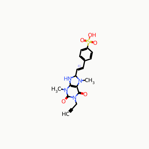 C#CCn1c(=O)c2c(n(C)c1=O)NC(/C=C/c1ccc(S(=O)(=O)O)cc1)N2C